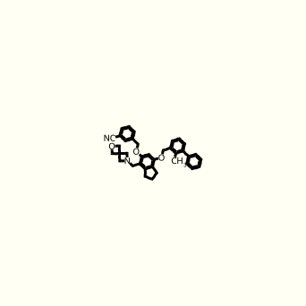 Cc1c(COc2cc(OCc3cccc(C#N)c3)c(CN3CC4(COC4)C3)c3c2CCC3)cccc1-c1ccccc1